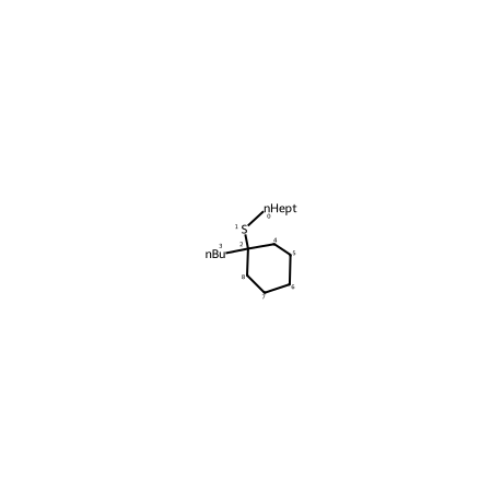 CCCCCCCSC1(CCCC)CCCCC1